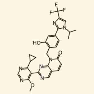 COc1ncnc(C2CC2)c1-c1ncc2ccc(=O)n(Cc3ccc(-c4nc(C(F)(F)F)cn4C(C)C)cc3O)c2n1